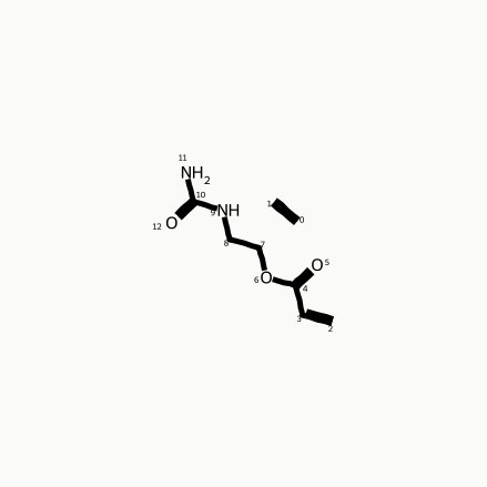 C=C.C=CC(=O)OCCNC(N)=O